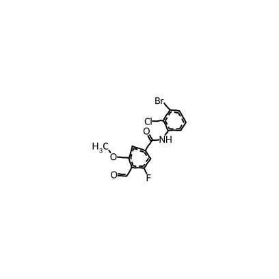 COc1cc(C(=O)Nc2cccc(Br)c2Cl)cc(F)c1C=O